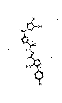 C/C(=N\NC(=O)c1ccc(C(=O)N2CC(O)C(O)C2)s1)c1csc(-c2ccc(Br)cc2)c1O